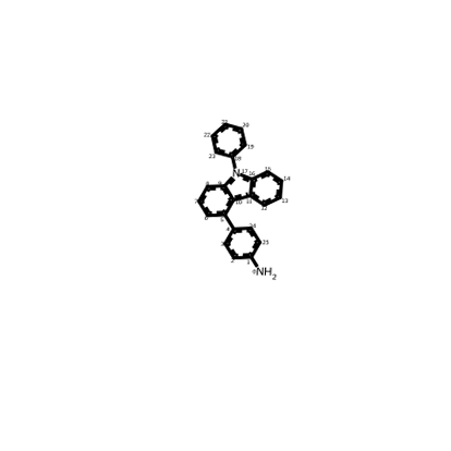 Nc1ccc(-c2cccc3c2c2ccccc2n3-c2ccccc2)cc1